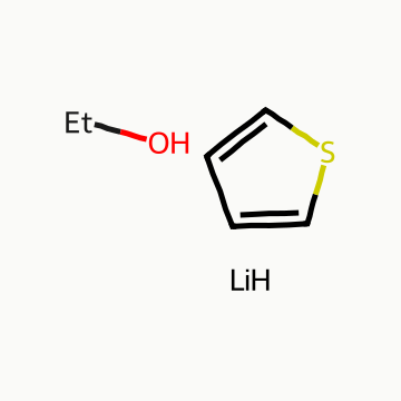 CCO.[LiH].c1ccsc1